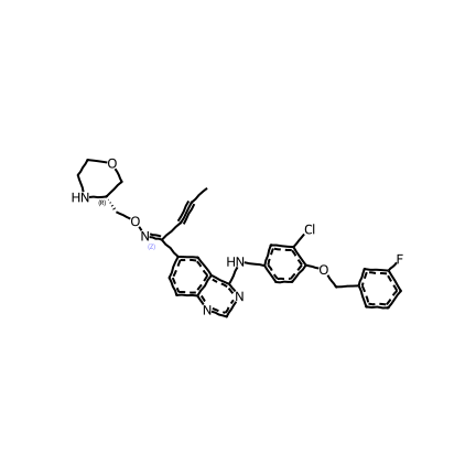 CC#C/C(=N\OC[C@H]1COCCN1)c1ccc2ncnc(Nc3ccc(OCc4cccc(F)c4)c(Cl)c3)c2c1